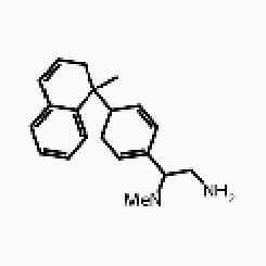 CNC(CN)C1=CCC(C2(C)CC=Cc3ccccc32)C=C1